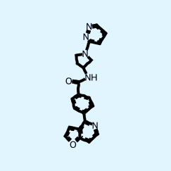 O=C(NC1CCN(c2cccnn2)C1)c1ccc(-c2nccc3occc23)cc1